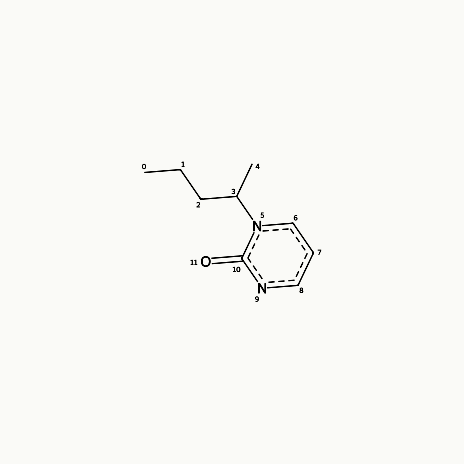 CCCC(C)n1cccnc1=O